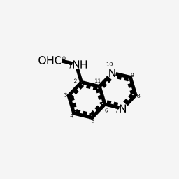 O=CNc1cccc2nccnc12